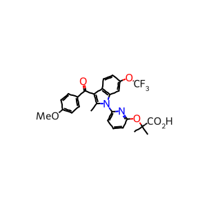 COc1ccc(C(=O)c2c(C)n(-c3cccc(OC(C)(C)C(=O)O)n3)c3cc(OC(F)(F)F)ccc23)cc1